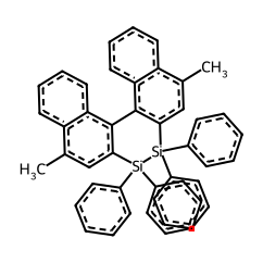 Cc1cc2c(c3ccccc13)-c1c(cc(C)c3ccccc13)[Si](c1ccccc1)(c1ccccc1)[Si]2(c1ccccc1)c1ccccc1